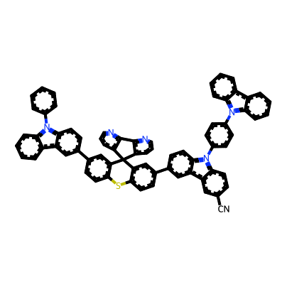 N#Cc1ccc2c(c1)c1cc(-c3ccc4c(c3)C3(c5cc(-c6ccc7c(c6)c6ccccc6n7-c6ccccc6)ccc5S4)c4cccnc4-c4ncccc43)ccc1n2-c1ccc(-n2c3ccccc3c3ccccc32)cc1